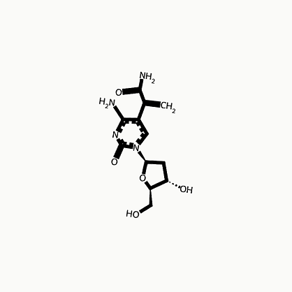 C=C(C(N)=O)c1cn([C@H]2C[C@H](O)[C@@H](CO)O2)c(=O)nc1N